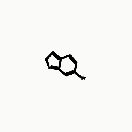 CC(C)c1ccc2c(c1)=NCC=2